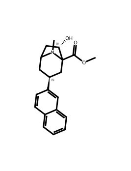 COC(=O)C12C[C@@H](c3ccc4ccccc4c3)CC(C[C@@H]1O)N2C